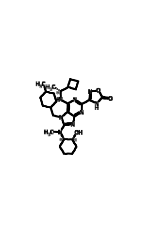 CC1CCC(Cn2c(N(C)[C@@H]3CCCC[C@@H]3O)nc3nc(-c4noc(=O)[nH]4)nc(N[C@H](C)C4CCC4)c32)CC1